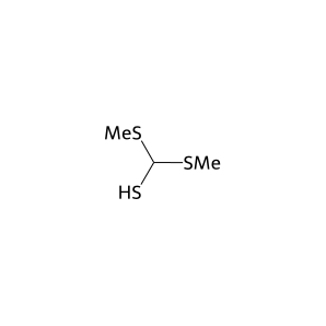 CSC(S)SC